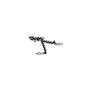 CCCCCCCCC1CC1CCCCCCCCC(CCCCCCCCC1CC1CCCCCCCC)OC(=O)CC1CCC(OC(=O)C2CCN(C)CC2)C1